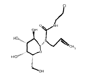 C=CCN(C(=O)NCCCl)[C@@H]1O[C@H](CO)[C@H](O)[C@H](O)[C@H]1O